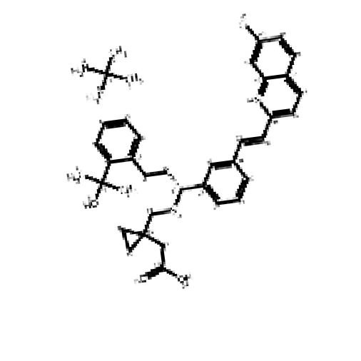 CC(C)(C)N.CC(C)(O)c1ccccc1CC[C@@H](SCC1(CC(=O)O)CC1)c1cccc(C=Cc2ccc3ccc(Cl)cc3n2)c1